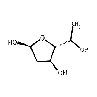 CC(O)[C@H]1O[C@H](O)C[C@@H]1O